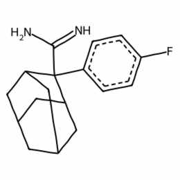 N=C(N)C1(c2ccc(F)cc2)C2CC3CC(C2)CC1C3